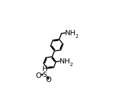 NCc1ccc(-c2ccc([SH](=O)=O)cc2N)cc1